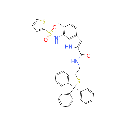 Cc1ccc2cc(C(=O)NCCSC(c3ccccc3)(c3ccccc3)c3ccccc3)[nH]c2c1NS(=O)(=O)c1cccs1